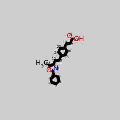 Cc1oc(-c2ccccc2)nc1C=Cc1ccc(/C=C/C(=O)O)cc1